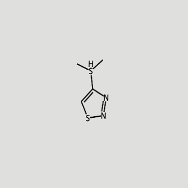 C[SH](C)c1csnn1